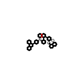 c1ccc(N(c2ccc(-c3cc4ccccc4c4ccccc34)cc2)c2ccccc2-c2ccccc2-c2ccc3c(c2)Oc2cccc4cccc(c24)O3)cc1